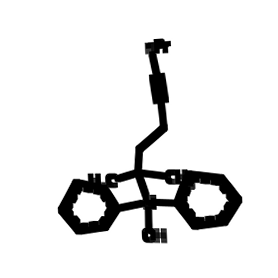 CCCC#CCCC(C)(C)[Si](O)(c1ccccc1)c1ccccc1